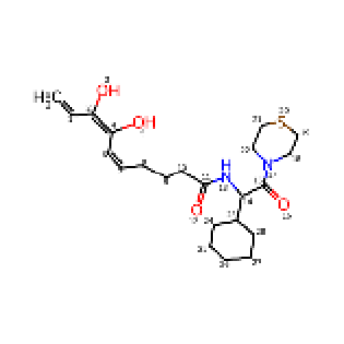 C=C/C(O)=C(O)\C=C/CCCC(=O)NC(C(=O)N1CCSCC1)C1CCCCC1